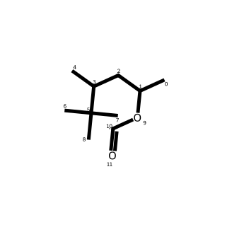 CC(CC(C)C(C)(C)C)O[C]=O